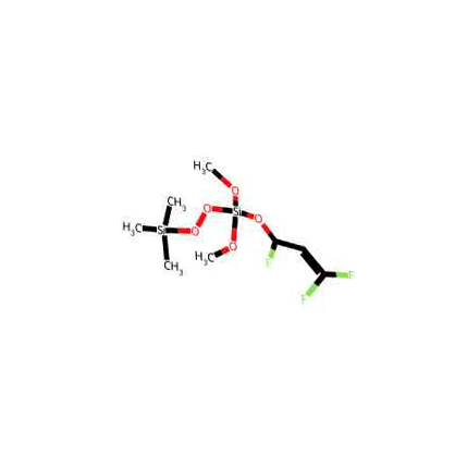 CO[Si](OC)(OO[Si](C)(C)C)OC(F)C=C(F)F